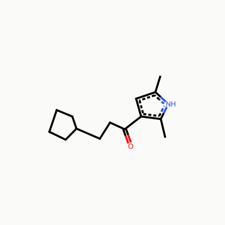 Cc1cc(C(=O)CCC2CCCC2)c(C)[nH]1